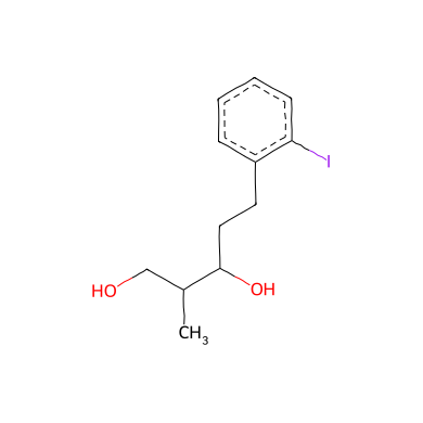 CC(CO)C(O)CCc1ccccc1I